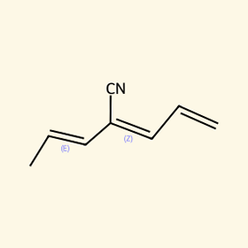 C=C/C=C(C#N)/C=C/C